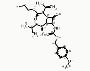 C=C(C)C(C(=O)OCCI)N1C(=O)C(NC(=O)OCc2ccc(OC)cc2)C1S(=S)CC(C)C